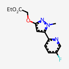 CCOC(=O)COc1cc(-c2ccc(F)cn2)n(C)n1